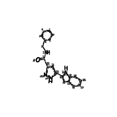 O=C(NCc1ccccc1)c1cc(-c2cc3ccccc3[nH]2)[nH]n1